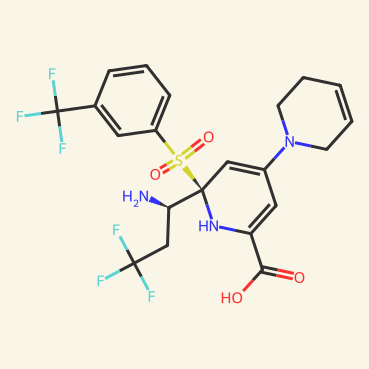 N[C@H](CC(F)(F)F)[C@]1(S(=O)(=O)c2cccc(C(F)(F)F)c2)C=C(N2CC=CCC2)C=C(C(=O)O)N1